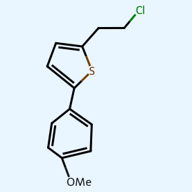 COc1ccc(-c2ccc(CCCl)s2)cc1